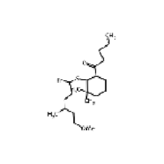 C=CCCC(=O)C1CCCC(C)(C)C1SC(CCC(C)CCOC)C(C)C